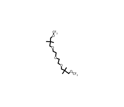 CC(C)(COCCOCCOCC(C)(C)COC(F)(F)F)COC(F)(F)F